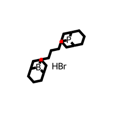 Br.C(CCB1C2CCCC1CCC2)CCP1C2CCCC1CCC2